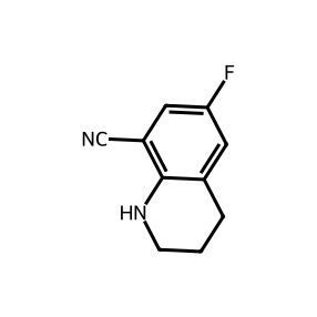 N#Cc1cc(F)cc2c1NCCC2